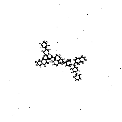 c1ccc(-c2ccc(N(c3ccc(-c4cc5c6c(c4)CCc4cc(N(c7ccc(-c8ccccc8)cc7)c7ccc8ccccc8c7)cc(c4-6)CC5)cc3)c3ccc4ccccc4c3)cc2)cc1